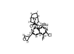 CC(C)(C)OC(=O)N1C2CCC1CN(c1nc(C3COC3)cc3c(F)c(Cl)ncc13)C2